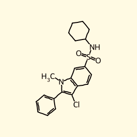 Cn1c(-c2ccccc2)c(Cl)c2ccc(S(=O)(=O)NC3CCCCC3)cc21